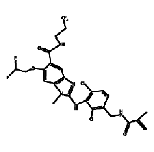 C=C(C)C(=O)NCc1ccc(Cl)c(Nc2nc3cc(C(=O)NCCC(F)(F)F)c(OCC(F)F)cc3n2C)c1Cl